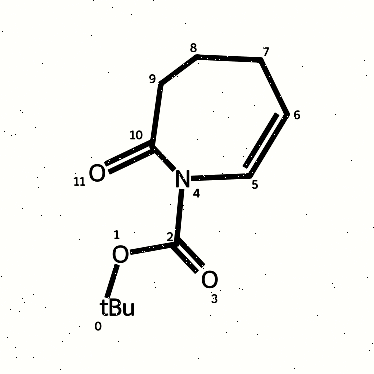 CC(C)(C)OC(=O)N1C=CCCCC1=O